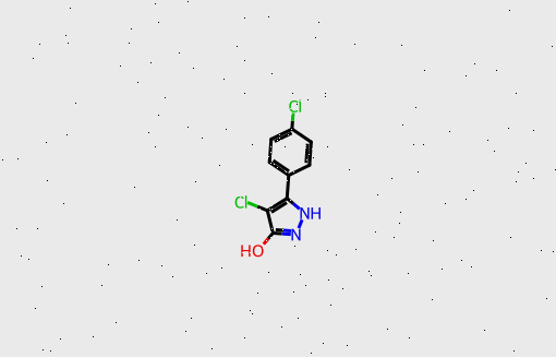 Oc1n[nH]c(-c2ccc(Cl)cc2)c1Cl